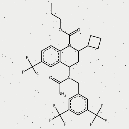 CCCOC(=O)N1c2ccc(C(F)(F)F)cc2C(N(Cc2cc(C(F)(F)F)cc(C(F)(F)F)c2)C(N)=O)CC1C1CCC1